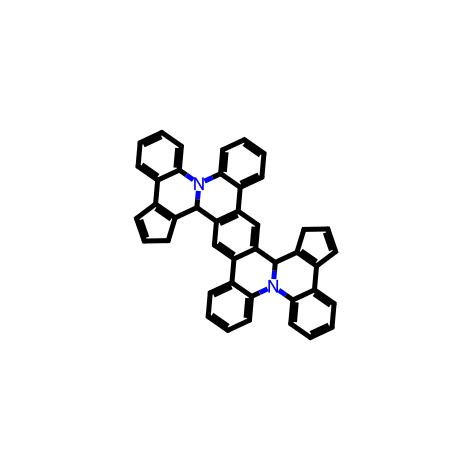 C1=CC2=C(C1)C1c3cc4c(cc3-c3ccccc3N1c1ccccc12)C1C2=C(C=CC2)c2ccccc2N1c1ccccc1-4